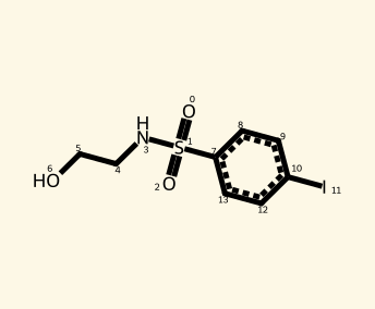 O=S(=O)(NCCO)c1ccc(I)cc1